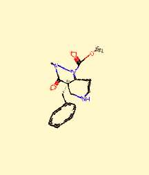 CN1C(=O)[C@]2(Cc3ccccc3)CNCCC2N1C(=O)OC(C)(C)C